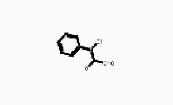 [O]C(C=O)N(Cl)c1ccccc1